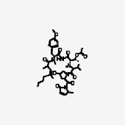 CCCCC(C)CC(C)C(=O)N(C)[C@@H](Cc1ccc(OC)cc1)C(=O)NC(=O)[C@H]([C@@H](C)OC(C)=O)N(C)C(C(=O)N1CC(O)CC1C(=O)N1C(=O)C=CC1C)C(C)C